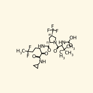 CC(F)(F)CCC(NC(=O)[C@@H]1C[C@@H](C(F)(F)F)CN1C(=O)C(NC(=O)O)C(C)(C)C)C(=O)C(=O)NC1CC1